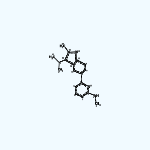 CNc1nccc(-c2ccc3nn(C)c(C(C)C)c3c2)n1